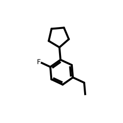 CCc1ccc(F)c(C2CCCC2)c1